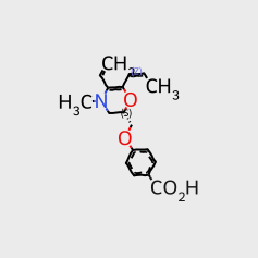 C=CC1=C(/C=C\C)O[C@H](COc2ccc(C(=O)O)cc2)CN1C